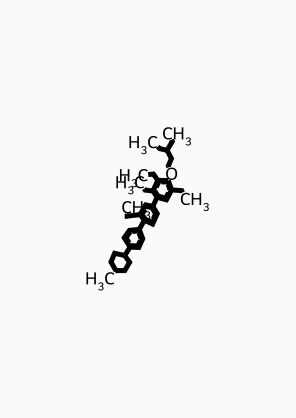 CCc1cc(-c2cc(CC)c(OCCC(CC)CC)c(CC)c2CC)ccc1-c1ccc(C2CCC(C)CC2)cc1